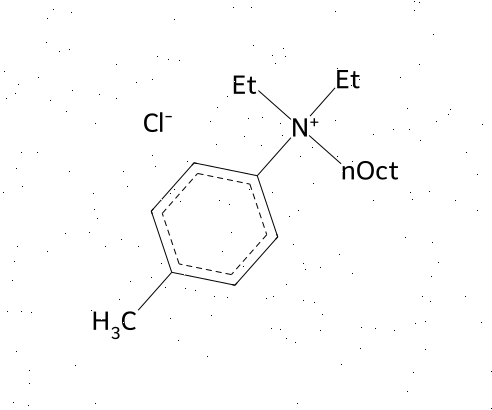 CCCCCCCC[N+](CC)(CC)c1ccc(C)cc1.[Cl-]